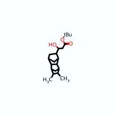 CC1C(C)C2CC1C1C3CC(C(O)CC(=O)OC(C)(C)C)C(C3)C21